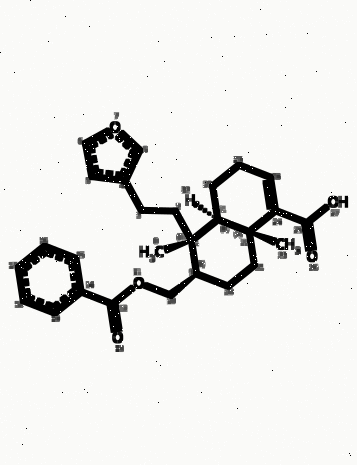 C[C@]1(CCc2ccoc2)[C@H](COC(=O)c2ccccc2)CC[C@@]2(C)C(C(=O)O)=CCC[C@H]12